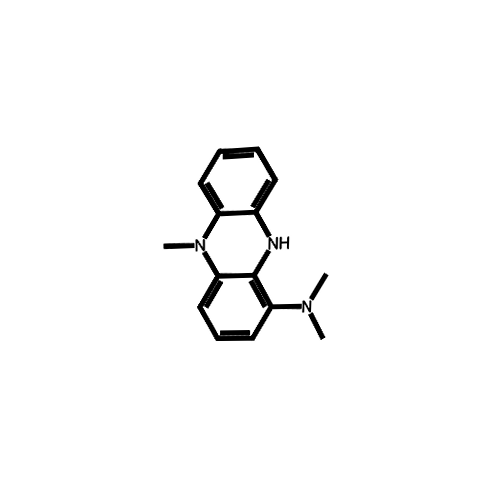 CN(C)c1cccc2c1Nc1ccccc1N2C